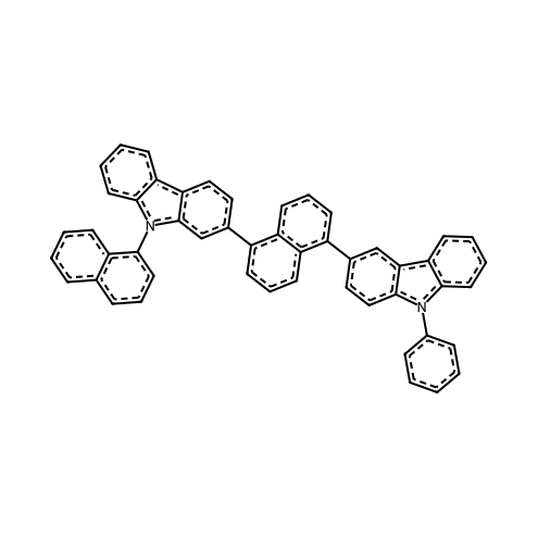 c1ccc(-n2c3ccccc3c3cc(-c4cccc5c(-c6ccc7c8ccccc8n(-c8cccc9ccccc89)c7c6)cccc45)ccc32)cc1